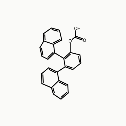 O=C(O)Oc1cccc(-c2cccc3ccccc23)c1-c1cccc2ccccc12